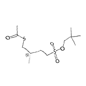 CC(=O)SC[C@@H](C)CCS(=O)(=O)OCC(C)(C)C